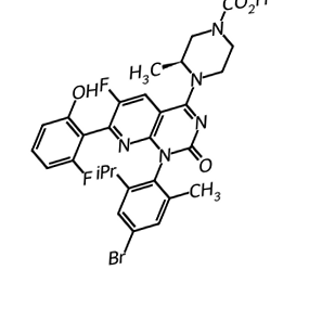 Cc1cc(Br)cc(C(C)C)c1-n1c(=O)nc(N2CCN(C(=O)O)C[C@@H]2C)c2cc(F)c(-c3c(O)cccc3F)nc21